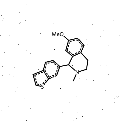 COc1ccc2c(c1)C(c1ccc3ccsc3c1)N(C)CC2